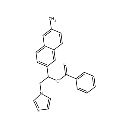 Cc1ccc2cc(C(Cn3ccnc3)OC(=O)c3ccccc3)ccc2c1